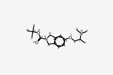 CC(COc1ccc2c(c1)CN(C(=O)OC(C)(C)C)C2)N(C)C